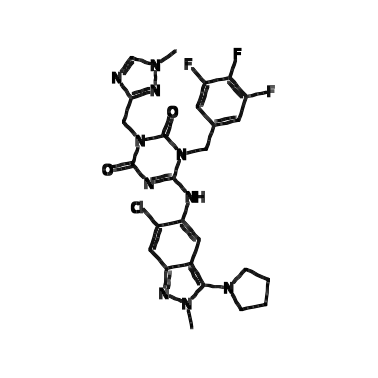 Cn1cnc(Cn2c(=O)nc(Nc3cc4c(N5CCCC5)n(C)nc4cc3Cl)n(Cc3cc(F)c(F)c(F)c3)c2=O)n1